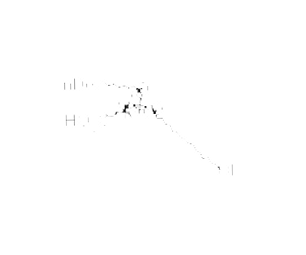 CCCCCCCCCCCCCCCCCC(=O)OCC(CO)(COC(=O)CCCCCCCCCCCCCCCCCO)COC(=O)CCCCC(=O)O